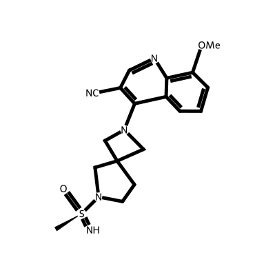 COc1cccc2c(N3CC4(CCN([S@](C)(=N)=O)C4)C3)c(C#N)cnc12